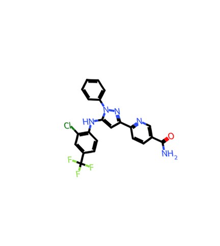 NC(=O)c1ccc(-c2cc(Nc3ccc(C(F)(F)F)cc3Cl)n(-c3ccccc3)n2)nc1